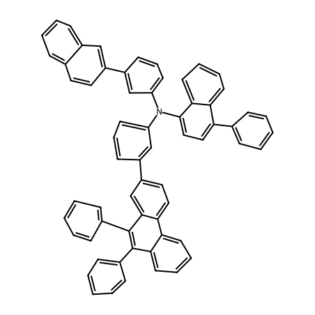 c1ccc(-c2ccc(N(c3cccc(-c4ccc5ccccc5c4)c3)c3cccc(-c4ccc5c(c4)c(-c4ccccc4)c(-c4ccccc4)c4ccccc45)c3)c3ccccc23)cc1